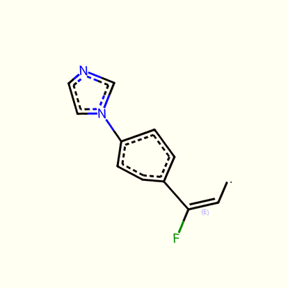 [CH2]/C=C(/F)c1ccc(-n2ccnc2)cc1